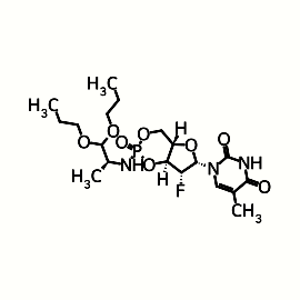 CCCOC(OCCC)[C@H](C)NP1(=O)OC[C@@H]2O[C@H](n3cc(C)c(=O)[nH]c3=O)[C@H](F)[C@H]2O1